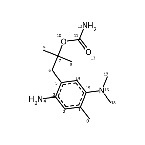 Cc1cc(N)c(CC(C)(C)OC(N)=O)cc1N(C)C